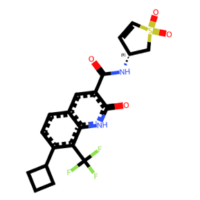 O=C(N[C@@H]1C=CS(=O)(=O)C1)c1cc2ccc(C3CCC3)c(C(F)(F)F)c2[nH]c1=O